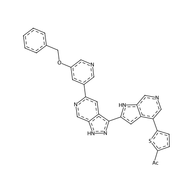 CC(=O)c1ccc(-c2cncc3[nH]c(-c4n[nH]c5cnc(-c6cncc(OCc7ccccc7)c6)cc45)cc23)s1